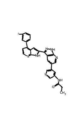 CCC(=O)Nc1cncc(-c2cnc3[nH]nc(-c4cc5c(-c6cccc(F)c6)ccnc5[nH]4)c3c2)c1